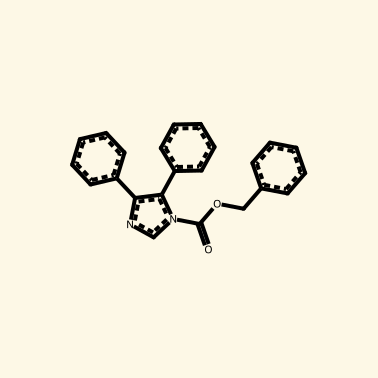 O=C(OCc1ccccc1)n1cnc(-c2ccccc2)c1-c1ccccc1